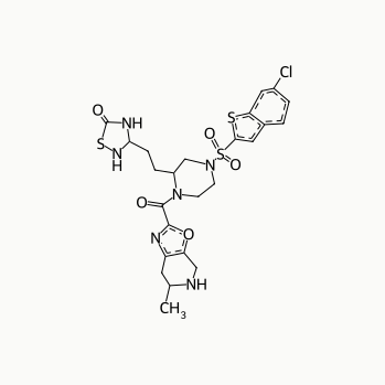 CC1Cc2nc(C(=O)N3CCN(S(=O)(=O)c4cc5ccc(Cl)cc5s4)CC3CCC3NSC(=O)N3)oc2CN1